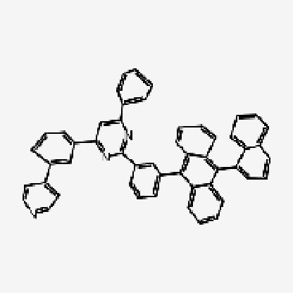 c1ccc(-c2cc(-c3cccc(-c4ccncc4)c3)nc(-c3cccc(-c4c5ccccc5c(-c5cccc6ccccc56)c5ccccc45)c3)n2)cc1